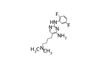 CN(C)CCCCc1cnc(Nc2cc(F)ccc2F)nc1N